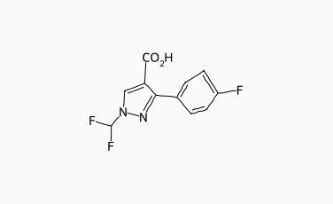 O=C(O)c1cn(C(F)F)nc1-c1ccc(F)cc1